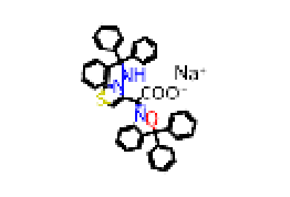 O=C([O-])/C(=N\OC(c1ccccc1)(c1ccccc1)c1ccccc1)C1=CSCN1NC(c1ccccc1)(c1ccccc1)c1ccccc1.[Na+]